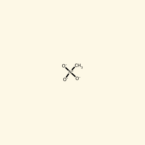 C[N+]([O-])([O-])[O-]